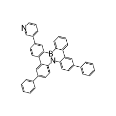 c1ccc(-c2ccc3c(c2)-c2ccccc2B2c4cc(-c5cccnc5)ccc4-c4cc(-c5ccccc5)ccc4N23)cc1